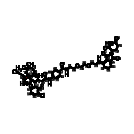 CC1(C)CCC2(CC1)N[C@@H](CC(=O)Nc1ccc(C(=O)NCCOCCOCCNc3cccc4c3C(=O)N(C3CCC(=O)NC3=O)C4=O)cc1)[C@H](c1cccc(Cl)c1F)[C@]21C(=O)Nc2cc(Cl)ccc21